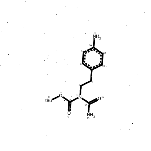 CC(C)(C)OC(=O)N(CCc1ccc(N)cc1)C(N)=O